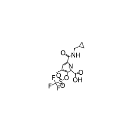 Cc1cc(C(=O)NCC2CC2)nc(C(=O)O)c1OS(=O)(=O)C(F)(F)F